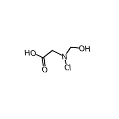 O=C(O)CN(Cl)CO